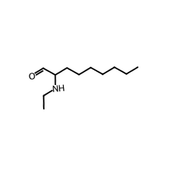 CCCCCCCC(C=O)NCC